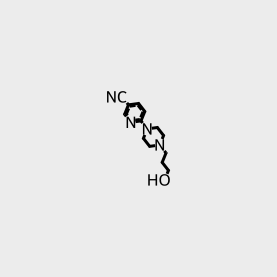 N#Cc1ccc(N2CCN(CCCO)CC2)nc1